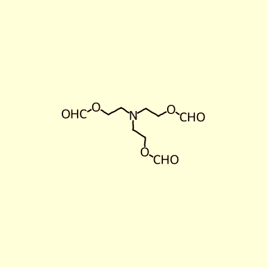 O=COCCN(CCOC=O)CCOC=O